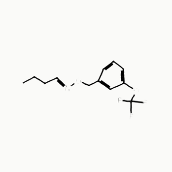 CCC/[C]=N/OCc1cccc(OC(F)(F)F)c1